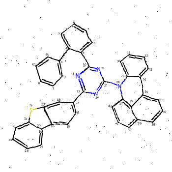 c1ccc(-c2ccccc2-c2nc(-c3ccc4c(c3)sc3ccccc34)nc(N3c4ccccc4-c4cccc5cccc3c45)n2)cc1